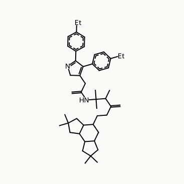 C=C(CC1=C(c2ccc(CC)cc2)C(c2ccc(CC)cc2)=NC1)NC(C)(C)C(C)C(=C)CCC1CC2CC(C)(C)CC2C2CC(C)(C)CC12